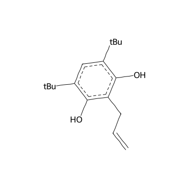 C=CCc1c(O)c(C(C)(C)C)cc(C(C)(C)C)c1O